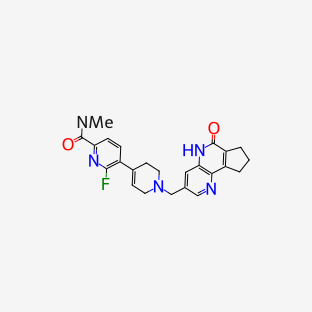 CNC(=O)c1ccc(C2=CCN(Cc3cnc4c5c(c(=O)[nH]c4c3)CCC5)CC2)c(F)n1